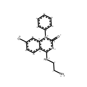 NCCNc1nc(=O)n(-c2ccccc2)c2cc(Cl)ccc12